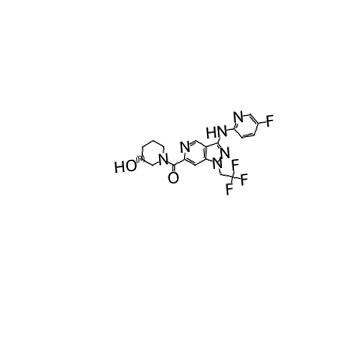 O=C(c1cc2c(cn1)c(Nc1ccc(F)cn1)nn2CC(F)(F)F)N1CCC[C@@H](O)C1